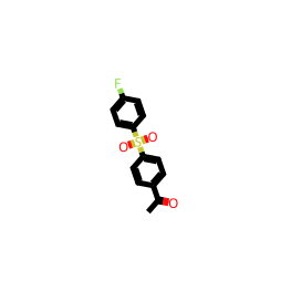 CC(=O)c1ccc(S(=O)(=O)c2ccc(F)cc2)cc1